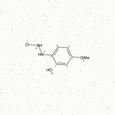 COc1ccc(NNCl)cc1.Cl